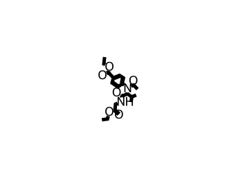 CCOC(=O)CNC(=O)C(C(C)C)N(C(C)=O)c1ccc(C(=O)OCC)cc1